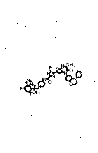 Nc1nc2sc(-c3nc(C(=O)NC4CCN(CC(O)(Cn5cncn5)c5ccc(F)cc5F)CC4)n[nH]3)cc2n(-c2ccc3c(c2)N(c2ccccc2)CCO3)c1=O